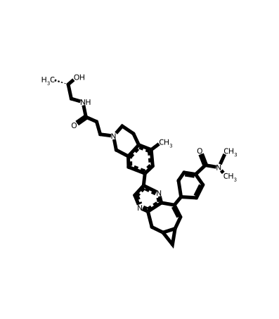 Cc1cc(-c2cnc3c(n2)C(C2C=CC(C(=O)N(C)C)=CC2)=CC2CC2C3)cc2c1CCN(CCC(=O)NC[C@H](C)O)C2